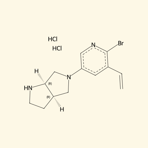 C=Cc1cc(N2C[C@H]3CCN[C@H]3C2)cnc1Br.Cl.Cl